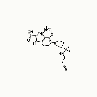 COc1c(N2CCC(C3(NCCC#N)CC3)C2)ccc2c(=O)c(C(=O)O)cn(C3CC3)c12